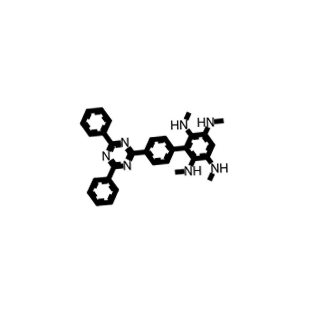 CNc1cc(NC)c(NC)c(-c2ccc(-c3nc(-c4ccccc4)nc(-c4ccccc4)n3)cc2)c1NC